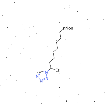 CCCCCCCCCCCCCCCCC(CC)n1cnnn1